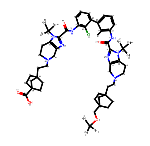 [2H]C([2H])([2H])OCC12CCC(CCN3CCc4c(nc(C(=O)Nc5cccc(-c6cccc(NC(=O)c7nc8c(n7C([2H])([2H])[2H])CCN(CCC79CCC(C(=O)O)(CC7)C9)C8)c6Cl)c5C)n4C([2H])([2H])[2H])C3)(CC1)C2